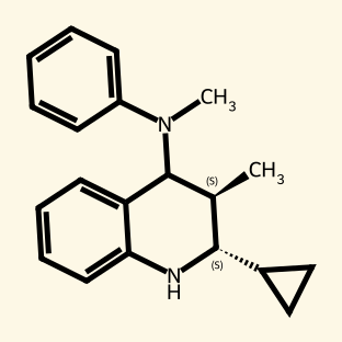 C[C@@H]1C(N(C)c2ccccc2)c2ccccc2N[C@H]1C1CC1